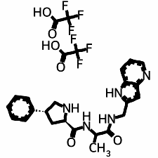 CC(NC(=O)[C@H]1C[C@H](c2ccccc2)CN1)C(=O)NCc1cc2ncccc2[nH]1.O=C(O)C(F)(F)F.O=C(O)C(F)(F)F